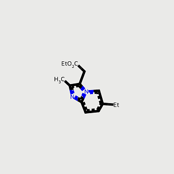 CCOC(=O)Cc1c(C)nc2ccc(CC)cn12